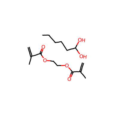 C=C(C)C(=O)OCCOC(=O)C(=C)C.CCCCCC(O)O